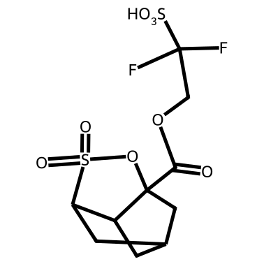 O=C(OCC(F)(F)S(=O)(=O)O)C12CC3CC1C(C3)S(=O)(=O)O2